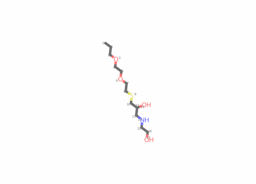 CCCOCCOCCSCC(O)CNCCO